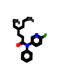 CCCC(CC)CCC(=O)N(c1ccccc1)c1ccc(F)nc1